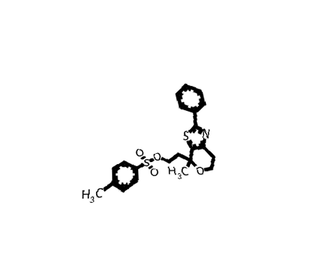 Cc1ccc(S(=O)(=O)OCCC2(C)OCCc3nc(-c4ccccc4)sc32)cc1